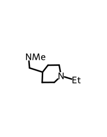 CCN1CCC(CNC)CC1